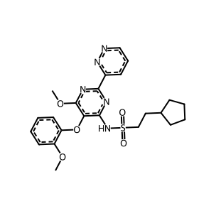 COc1ccccc1Oc1c(NS(=O)(=O)CCC2CCCC2)nc(-c2cccnn2)nc1OC